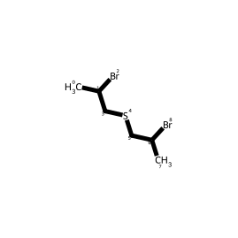 CC(Br)CSCC(C)Br